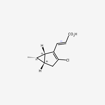 C[C@H]1[C@H]2CC(Cl)=C(/C=C/C(=O)O)[C@@H]12